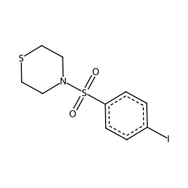 O=S(=O)(c1ccc(I)cc1)N1CCSCC1